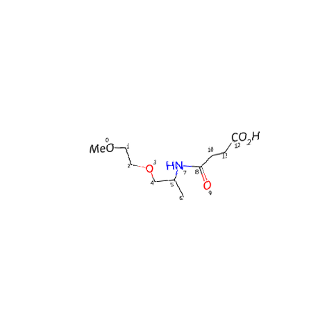 COCCOCC(C)NC(=O)CCC(=O)O